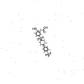 O=C(O)Cc1cc(S(=O)(=O)N2CCN(c3ccc(C(F)(F)F)cc3)CC2)ccc1O